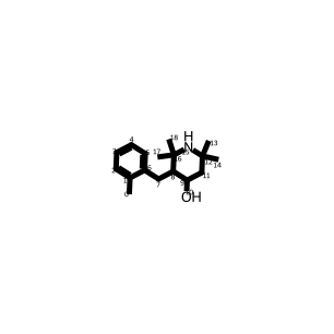 Cc1ccccc1CC1C(O)CC(C)(C)NC1(C)C